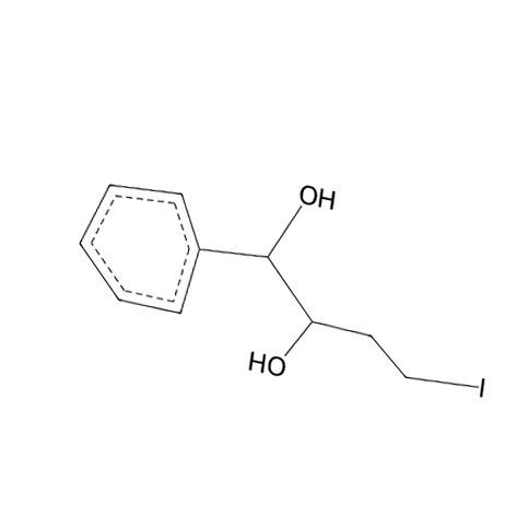 OC(CCI)C(O)c1ccccc1